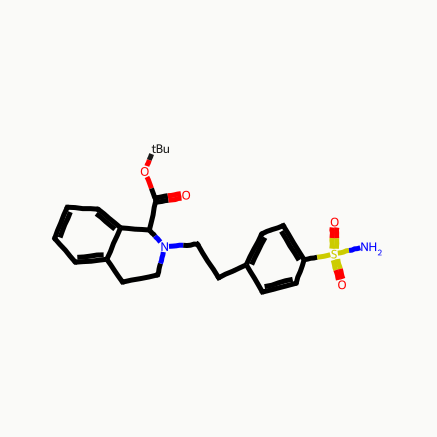 CC(C)(C)OC(=O)C1c2ccccc2CCN1[CH]Cc1ccc(S(N)(=O)=O)cc1